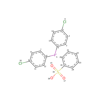 Clc1ccc([I+]c2ccc(Cl)cc2)cc1.O=S(=O)([O-])c1ccccc1